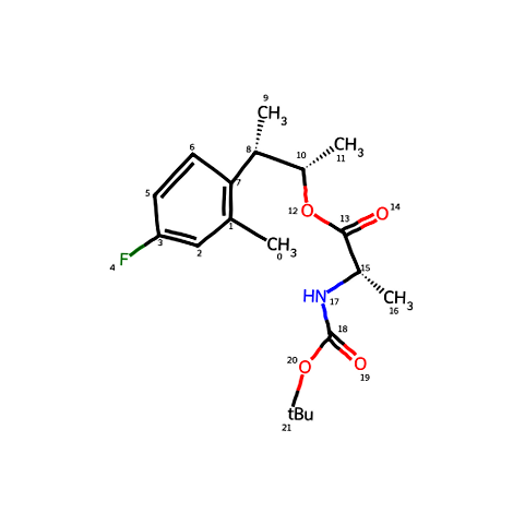 Cc1cc(F)ccc1[C@H](C)[C@H](C)OC(=O)[C@H](C)NC(=O)OC(C)(C)C